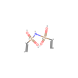 C=CS(=O)(=O)[N]S(=O)(=O)C=C